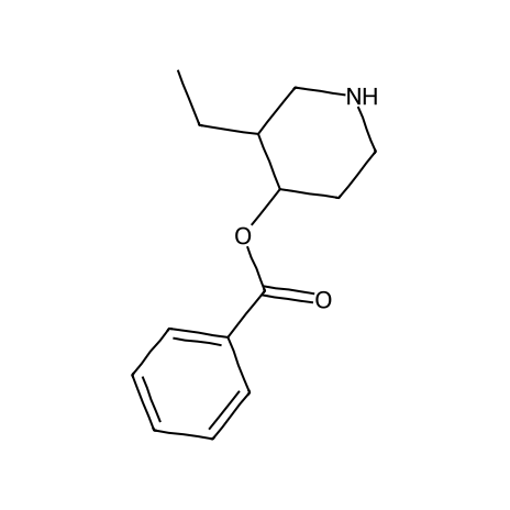 CCC1CNCCC1OC(=O)c1ccccc1